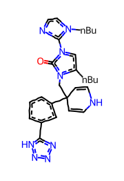 CCCCc1cn(-c2nccn2CCCC)c(=O)n1CC1(c2cccc(-c3nnn[nH]3)c2)C=CNC=C1